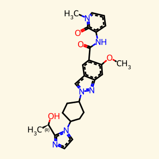 COc1cc2nn(C3CCC(n4ccnc4[C@@H](C)O)CC3)cc2cc1C(=O)Nc1cccn(C)c1=O